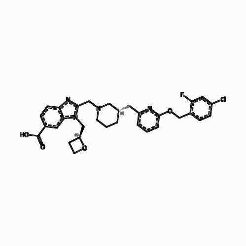 O=C(O)c1ccc2nc(CN3CCC[C@@H](Cc4cccc(OCc5ccc(Cl)cc5F)n4)C3)n(C[C@@H]3CCO3)c2c1